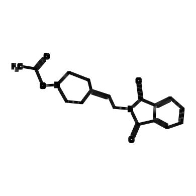 O=C1c2ccccc2C(=O)N1CC=C1CCN(OC(=O)C(F)(F)F)CC1